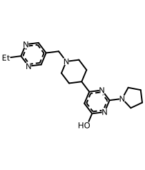 CCc1ncc(CN2CCC(c3cc(O)nc(N4CCCC4)n3)CC2)cn1